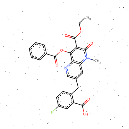 CCOC(=O)c1c(OC(=O)c2ccccc2)c2ncc(Cc3ccc(F)cc3C(=O)O)cc2n(C)c1=O